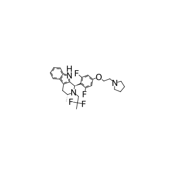 C[C@@H]1Cc2c([nH]c3ccccc23)[C@@H](c2c(F)cc(OCCN3CCCC3)cc2F)N1CC(C)(F)F